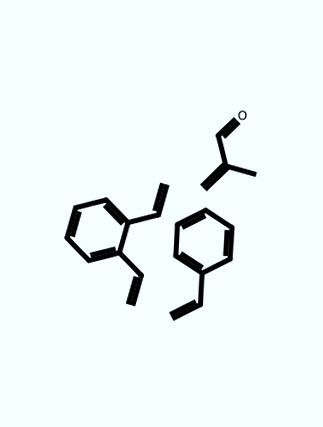 C=C(C)C=O.C=Cc1ccccc1.C=Cc1ccccc1C=C